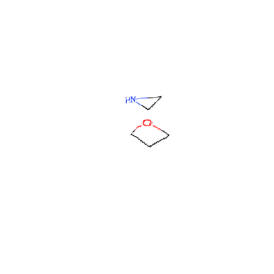 C1CN1.C1COC1